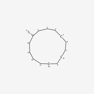 [S]C1CCCCCCCCCCCCC1